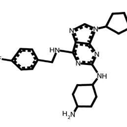 NC1CCC(Nc2nc(NCc3ccc(F)cc3)c3ncn(C4CCCC4)c3n2)CC1